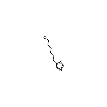 [O]CCCCCCc1cncs1